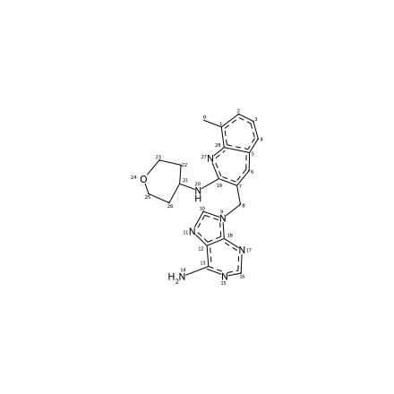 Cc1cccc2cc(Cn3cnc4c(N)ncnc43)c(NC3CCOCC3)nc12